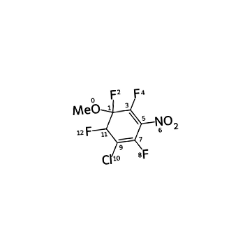 COC1(F)C(F)=C([N+](=O)[O-])C(F)=C(Cl)C1F